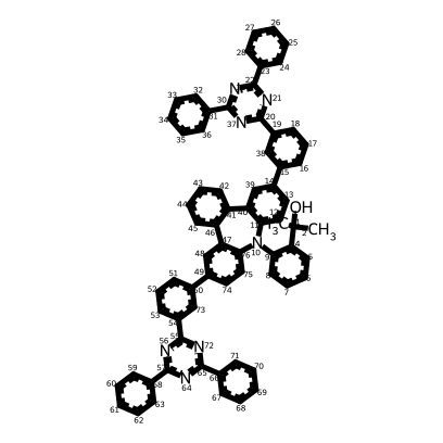 CC(C)(O)c1ccccc1N1c2ccc(-c3cccc(-c4nc(-c5ccccc5)nc(-c5ccccc5)n4)c3)cc2-c2ccccc2-c2cc(-c3cccc(-c4nc(-c5ccccc5)nc(-c5ccccc5)n4)c3)ccc21